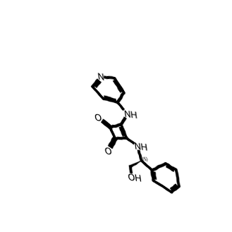 O=c1c(Nc2ccncc2)c(N[C@H](CO)c2ccccc2)c1=O